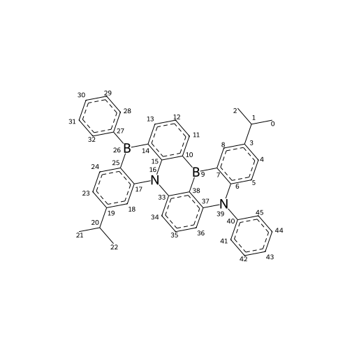 CC(C)c1ccc2c(c1)B1c3cccc4c3N(c3cc(C(C)C)ccc3B4c3ccccc3)c3cccc(c31)N2c1ccccc1